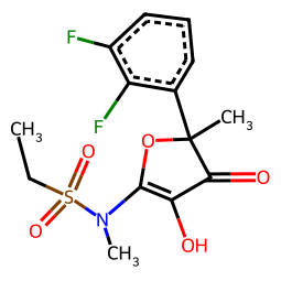 CCS(=O)(=O)N(C)C1=C(O)C(=O)C(C)(c2cccc(F)c2F)O1